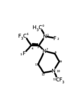 CN(F)/C(=C(/F)C(F)(F)F)N1CCN(C(F)(F)F)CC1